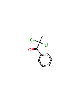 CC(Cl)(Cl)C(=O)c1ccccc1